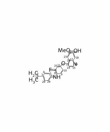 C=C(C)c1ccc(Nc2ccc(Oc3ccnc4cc(O)c(OC)cc34)cc2F)cc1